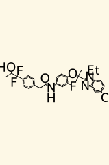 CCn1c(C(C)(C)Oc2ccc(NC(=O)Cc3ccc(C(F)(F)C(C)O)cc3)cc2F)nc2cc(Cl)ccc21